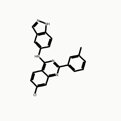 Cc1cccc(-c2nc(Nc3ccc4[nH]ncc4c3)c3ccc(Cl)cc3n2)c1